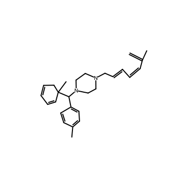 C=C(C)/C=C\C=C\CN1CCN(C(c2ccc(C)cc2)C2(C)C=CC=CC2)CC1